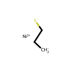 [CH2-]CC[S-].[Ni+2]